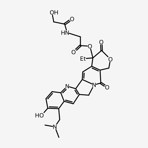 CCC1(OC(=O)CNC(=O)CO)C(=O)OCc2c1cc1n(c2=O)Cc2cc3c(CN(C)C)c(O)ccc3nc2-1